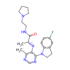 C/C(=N\c1c(C)ncnc1N1CCc2cc(F)ccc21)C(=O)NCCN1CCCC1